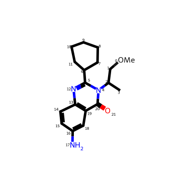 COCC(C)n1c(C2CCCCC2)nc2ccc(N)cc2c1=O